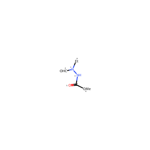 CCN([C]=O)NC(=O)OC